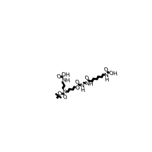 CC(C)(C)OC(=O)N(CCCCOC(=O)NCNC(=O)CCCCCCNC(=O)O)CCCNC(=O)O